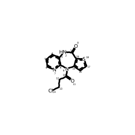 O=C1Nc2cccnc2N(C(=O)CCCl)c2ccsc21